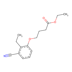 CCOC(=O)CCCOc1cccc(C#N)c1CC